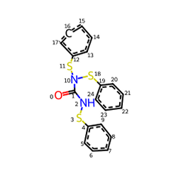 O=C(NSc1ccccc1)N(Sc1ccccc1)Sc1ccccc1